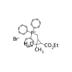 CCOC(=O)C1C(C[P+](c2ccccc2)(c2ccccc2)c2ccccc2)C1(C)C.[Br-]